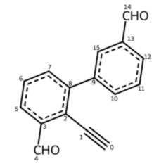 C#Cc1c(C=O)cccc1-c1cccc(C=O)c1